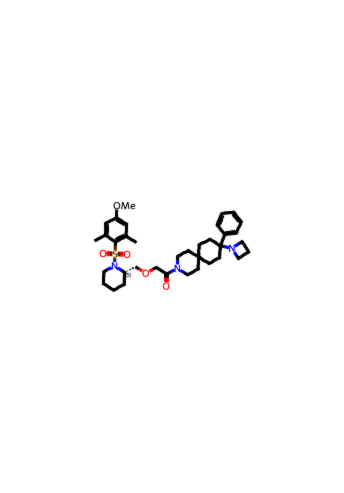 COc1cc(C)c(S(=O)(=O)N2CCCC[C@H]2COCC(=O)N2CCC3(CC2)CCC(c2ccccc2)(N2CCC2)CC3)c(C)c1